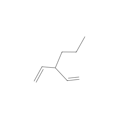 C=CC(C=C)CCC